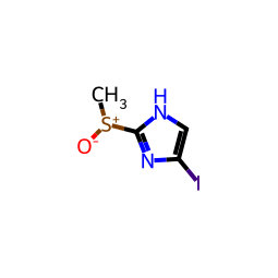 C[S+]([O-])c1nc(I)c[nH]1